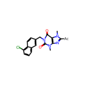 CC(=O)c1nc2c(c(=O)n(Cc3ccc4c(Cl)cccc4c3)c(=O)n2C)n1C